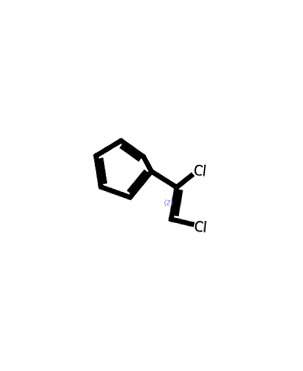 Cl/C=C(\Cl)c1ccccc1